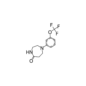 O=C1CCN(c2cccc(OC(F)(F)F)c2)CCN1